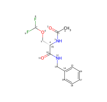 CC(=O)N[C@@H](COC(F)F)C(=O)NCc1ccccc1